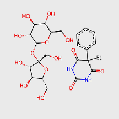 CCC1(c2ccccc2)C(=O)NC(=O)NC1=O.OC[C@H]1O[C@@](CO)(O[C@H]2O[C@H](CO)[C@@H](O)[C@H](O)[C@H]2O)[C@@H](O)[C@@H]1O